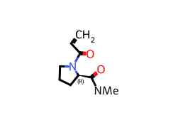 C=CC(=O)N1CCC[C@@H]1C(=O)NC